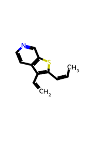 C=Cc1c(/C=C\C)sc2cnccc12